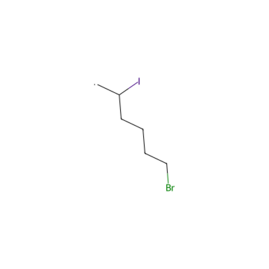 [CH2]C(I)CCCCBr